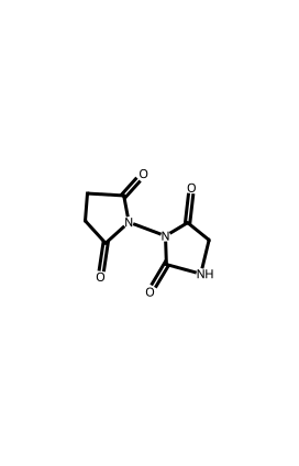 O=C1CCC(=O)N1N1C(=O)CNC1=O